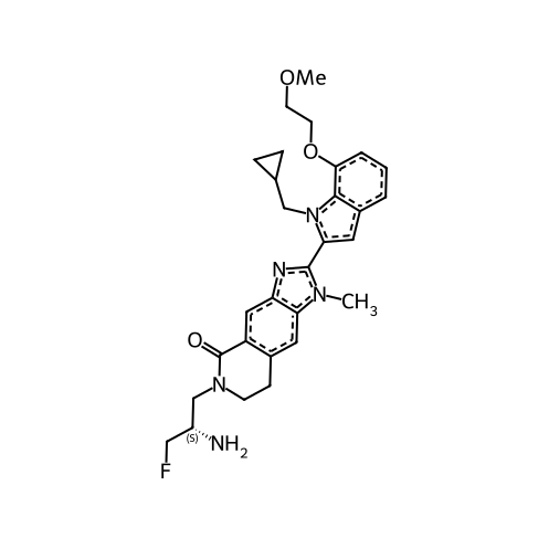 COCCOc1cccc2cc(-c3nc4cc5c(cc4n3C)CCN(C[C@H](N)CF)C5=O)n(CC3CC3)c12